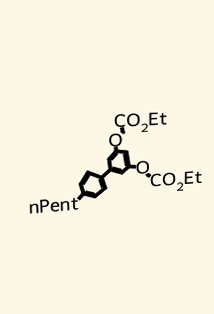 CCCCCc1ccc(-c2cc(OCC(=O)OCC)cc(OCC(=O)OCC)c2)cc1